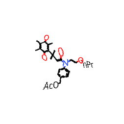 CCCOCCN(C(=O)CC(C)(C)C1=C(C)C(=O)C(C)=C(C)C1=O)c1ccc(COC(C)=O)cc1